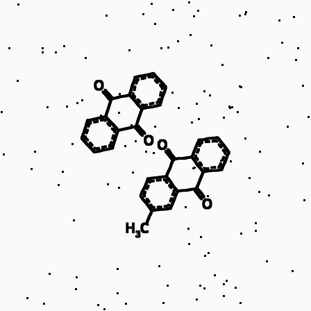 Cc1ccc2c(c1)C(=O)c1ccccc1C2=O.O=C1c2ccccc2C(=O)c2ccccc21